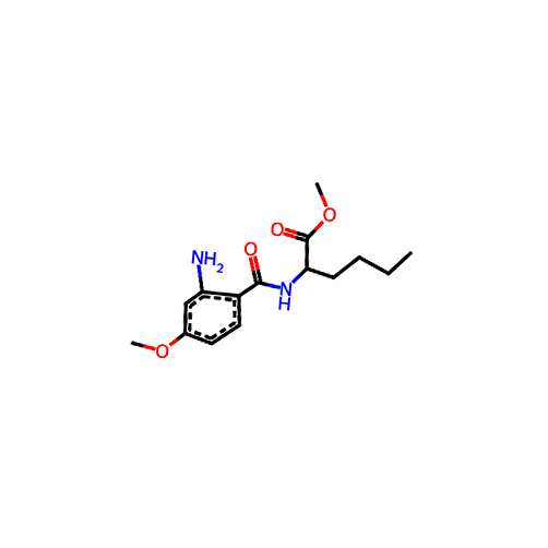 CCCCC(NC(=O)c1ccc(OC)cc1N)C(=O)OC